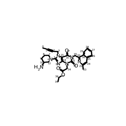 CC#CCn1c(N2CCCC(N)C2)nc2c1c(=O)n(Cc1nc(C)cc3ccccc13)c(=O)n2CC(=O)OCC